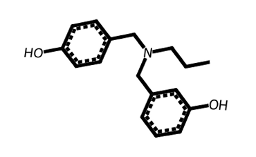 CCCN(Cc1ccc(O)cc1)Cc1cccc(O)c1